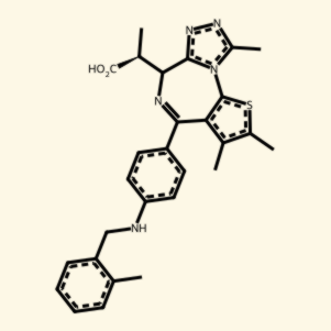 Cc1ccccc1CNc1ccc(C2=NC([C@H](C)C(=O)O)c3nnc(C)n3-c3sc(C)c(C)c32)cc1